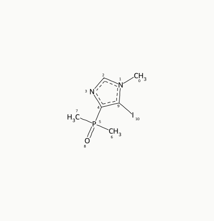 Cn1cnc(P(C)(C)=O)c1I